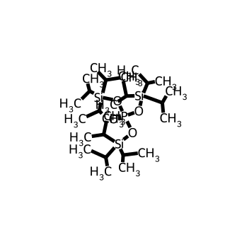 CC(C)[Si](OP(=O)(O[Si](C(C)C)(C(C)C)C(C)C)O[Si](C(C)C)(C(C)C)C(C)C)(C(C)C)C(C)C